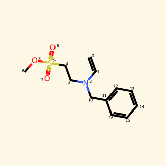 C=CN(CCS(=O)(=O)OC)Cc1ccccc1